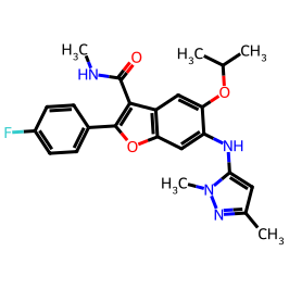 CNC(=O)c1c(-c2ccc(F)cc2)oc2cc(Nc3cc(C)nn3C)c(OC(C)C)cc12